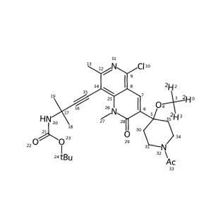 [2H]C([2H])([2H])OC1(c2cc3c(Cl)nc(C)c(C#CC(C)(C)NC(=O)OC(C)(C)C)c3n(C)c2=O)CCN(C(C)=O)CC1